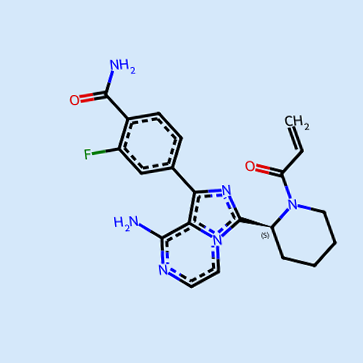 C=CC(=O)N1CCCC[C@H]1c1nc(-c2ccc(C(N)=O)c(F)c2)c2c(N)nccn12